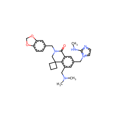 CNc1nccn1Cc1cc(CN(C)C)c2c(c1)C(=O)N(Cc1ccc3c(c1)OCO3)CC21CCC1